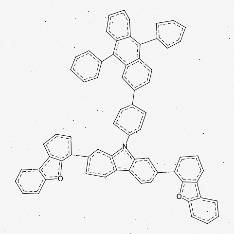 c1ccc(-c2c3ccccc3c(-c3ccccc3)c3cc(-c4ccc(-n5c6cc(-c7cccc8c7oc7ccccc78)ccc6c6ccc(-c7cccc8c7oc7ccccc78)cc65)cc4)ccc23)cc1